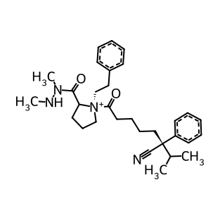 CNN(C)C(=O)C1CCC[N@+]1(CCc1ccccc1)C(=O)CCCC[C@@](C#N)(c1ccccc1)C(C)C